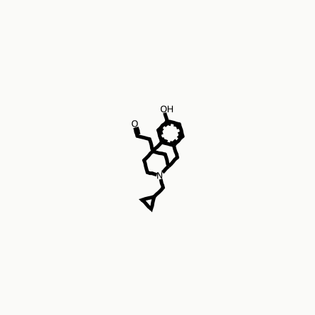 O=CCC12CCN(CC3CC3)C(Cc3ccc(O)cc31)C2